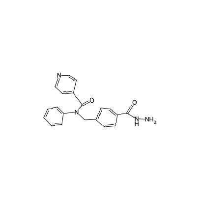 NNC(=O)c1ccc(CN(C(=O)c2ccncc2)c2ccccc2)cc1